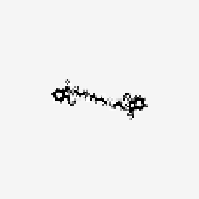 O=C1c2ccccc2C(=O)N1CCCOCCCCOCCCN1C(=O)c2ccccc2C1=O